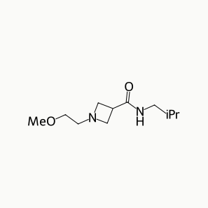 COCCN1CC(C(=O)NCC(C)C)C1